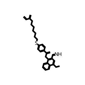 C=CC(=C)CCCCCCCSc1ccc(C(=C)Cc2c(C=N)cc(CC)c3ccccc23)cc1